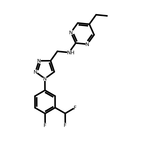 CCc1cnc(NCc2cn(-c3ccc(F)c(C(F)F)c3)nn2)nc1